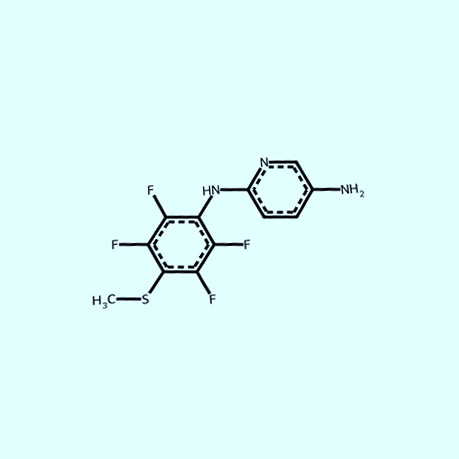 CSc1c(F)c(F)c(Nc2ccc(N)cn2)c(F)c1F